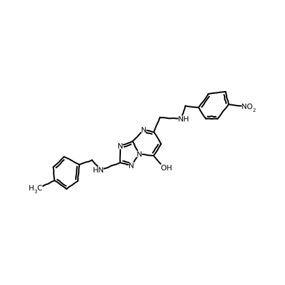 Cc1ccc(CNc2nc3nc(CNCc4ccc([N+](=O)[O-])cc4)cc(O)n3n2)cc1